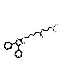 CCN(CC)CCNC(=O)CCCCSc1nc(-c2ccccc2)c(-c2ccccc2)[nH]1